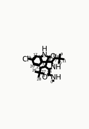 CNC(=O)C1NC(CC(C)(C)C)C2(C(=O)Nc3cc(Cl)ccc32)C1CC(C)(C)C